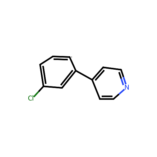 Clc1cc[c]c(-c2ccncc2)c1